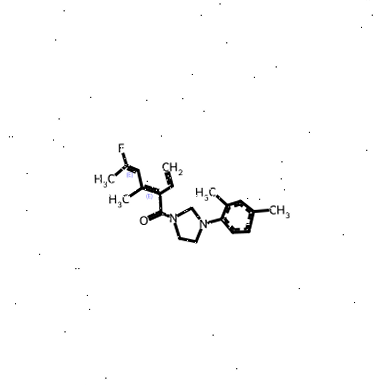 C=C/C(C(=O)N1CCN(c2ccc(C)cc2C)C1)=C(C)\C=C(/C)F